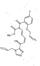 C=CCOc1ccc(F)cc1C(=O)N(/C=C/C=C\C(=N)c1nncn1CC=C)C(=O)OC(C)(C)C